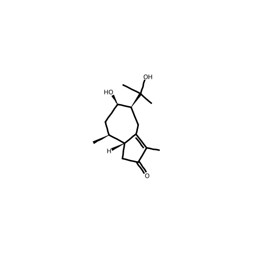 CC1=C2C[C@H](C(C)(C)O)[C@H](O)C[C@H](C)[C@H]2CC1=O